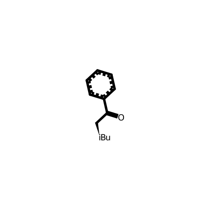 CC[C@H](C)CC(=O)c1ccccc1